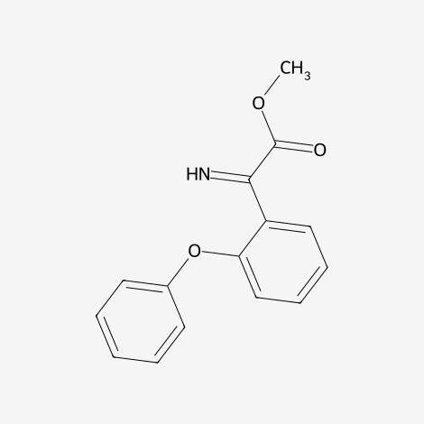 COC(=O)C(=N)c1ccccc1Oc1ccccc1